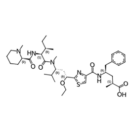 CCO[C@H](C[C@H](C(C)C)N(C)C(=O)[C@@H](NC(=O)[C@H]1CCCCN1C)[C@H](C)CC)c1nc(C(=O)N[C@@H](Cc2ccccc2)C[C@H](C)C(=O)O)cs1